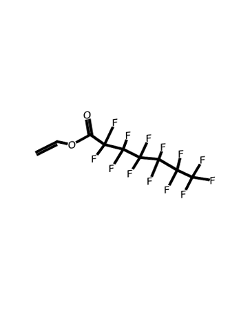 C=COC(=O)C(F)(F)C(F)(F)C(F)(F)C(F)(F)C(F)(F)C(F)(F)F